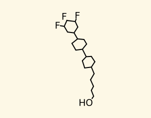 OCCCCCC1CCC(C2CCC(C3CC(F)C(F)C(F)C3)CC2)CC1